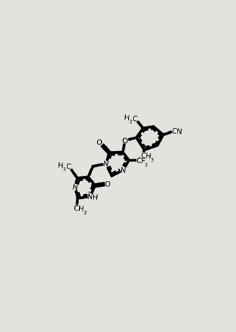 Cc1nc(C)c(Cn2cnc(C(F)(F)F)c(Oc3c(C)cc(C#N)cc3C)c2=O)c(=O)[nH]1